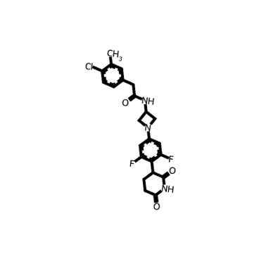 Cc1cc(CC(=O)NC2CN(c3cc(F)c(C4CCC(=O)NC4=O)c(F)c3)C2)ccc1Cl